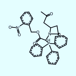 CC(=O)CC1CC(=O)N1C(C(=O)OCc1ccccc1[N+](=O)[O-])[PH](c1ccccc1)(c1ccccc1)c1ccccc1